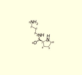 NCCCNC(=O)[C@@H]1CCCN1